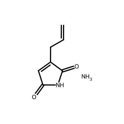 C=CCC1=CC(=O)NC1=O.N